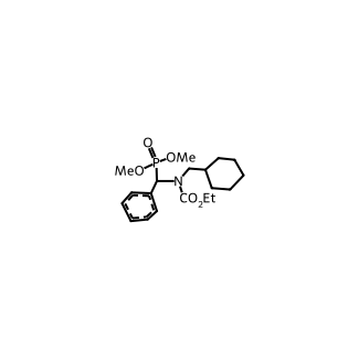 CCOC(=O)N(CC1CCCCC1)C(c1ccccc1)P(=O)(OC)OC